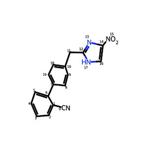 N#Cc1ccccc1-c1ccc(Cc2nc([N+](=O)[O-])c[nH]2)cc1